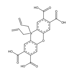 C=CC[Si]1(CC=C)c2cc(C(=O)O)c(C(=O)O)cc2Oc2cc(C(=O)O)c(C(=O)O)cc21